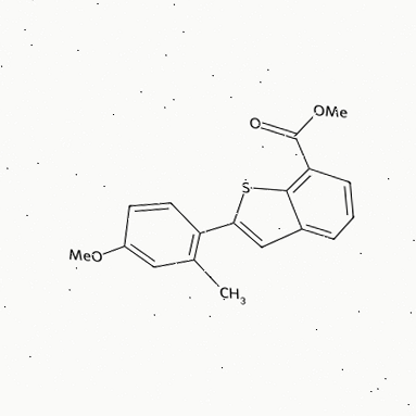 COC(=O)c1cccc2cc(-c3ccc(OC)cc3C)sc12